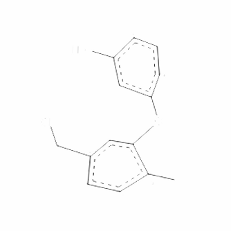 Cc1cccc(Oc2cc(CCl)ccc2F)c1